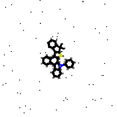 CC1(C)c2ccccc2-c2c1sc1c2c2ccccc2c2c3ccccc3n(-c3ccccc3)c12